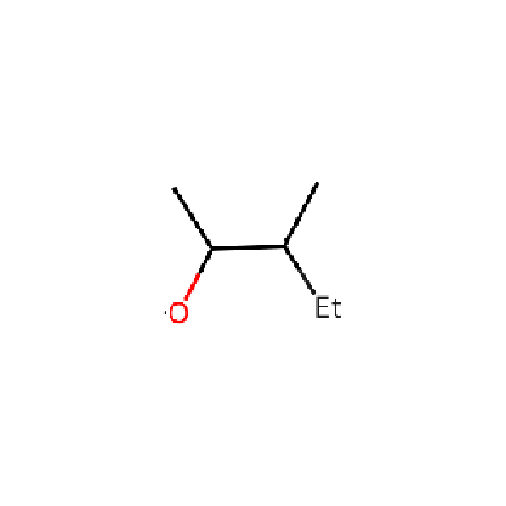 CC[C](C)C(C)[O]